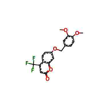 COc1ccc(COc2ccc3c(C(F)(F)F)cc(=O)oc3c2)cc1OC